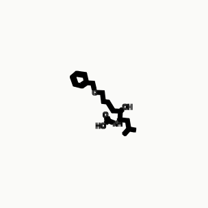 CC(C)CC(NC(=O)O)C(O)CCCCOCc1ccccc1